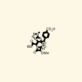 CO[C@H]1C(=O)N2C(C(=O)C(C)(C)C)=C(C)C(Cc3ccc(C(=O)O)cc3)(Sc3nnnn3C)S(=O)(=O)[C@H]12